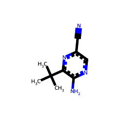 CC(C)(C)c1nc(C#N)cnc1N